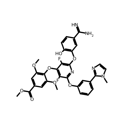 COC(=O)c1cc(OC)c(Oc2c(F)c(Oc3cccc(-c4nccn4C)c3)nc(Oc3cc(C(=N)N)ccc3O)c2F)c(OC)c1